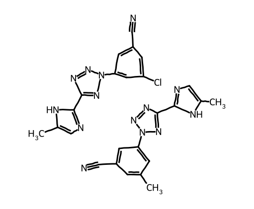 Cc1cc(C#N)cc(-n2nnc(-c3ncc(C)[nH]3)n2)c1.Cc1cnc(-c2nnn(-c3cc(Cl)cc(C#N)c3)n2)[nH]1